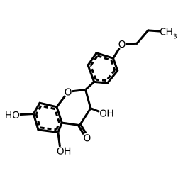 CCCOc1ccc(C2Oc3cc(O)cc(O)c3C(=O)C2O)cc1